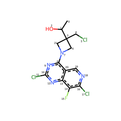 CC(O)C1(CCl)CN(c2nc(Cl)nc3c(F)c(Cl)ncc23)C1